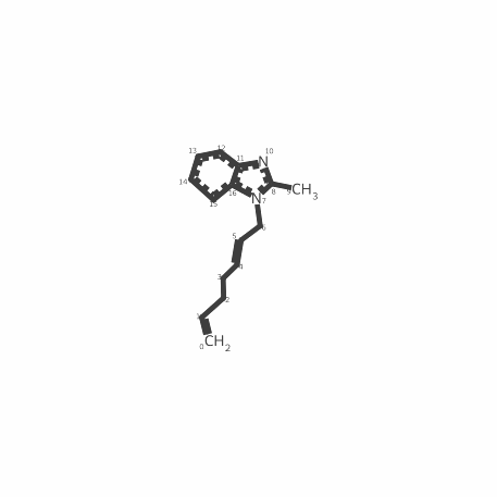 C=CCCC=CCn1c(C)nc2ccccc21